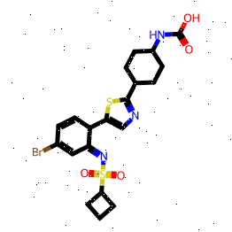 O=C(O)NC1CCC(c2ncc(C3C=CC(Br)=CC3=NS(=O)(=O)C3CCC3)s2)CC1